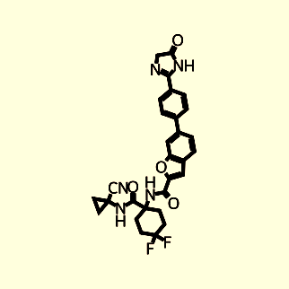 N#CC1(NC(=O)C2(NC(=O)c3cc4ccc(-c5ccc(C6=NCC(=O)N6)cc5)cc4o3)CCC(F)(F)CC2)CC1